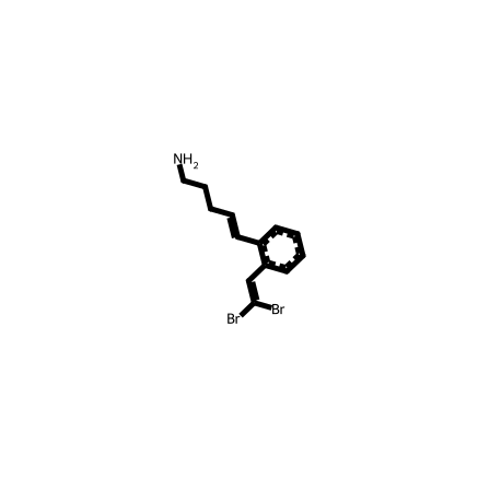 NCCCC=Cc1ccccc1C=C(Br)Br